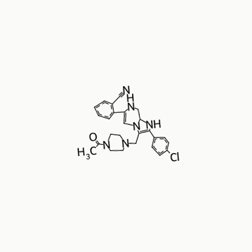 CC(=O)N1CCN(CC2=C(c3ccc(Cl)cc3)NC3CNC(c4ccccc4C#N)=CN23)CC1